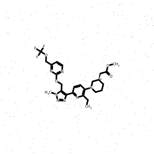 CCc1nc(-c2nnn(C)c2COc2nccc(COC(F)(F)F)n2)ccc1N1CCC[C@H](CC(=O)OC)C1